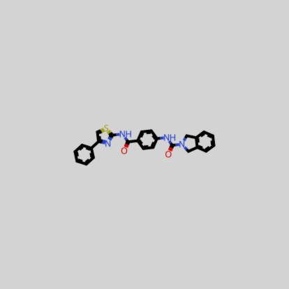 O=C(Nc1nc(-c2ccccc2)cs1)c1ccc(NC(=O)N2Cc3ccccc3C2)cc1